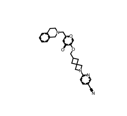 N#Cc1ccc(N2CC3(CC(COc4coc(CN5CCc6ccccc6C5)cc4=O)C3)C2)nc1